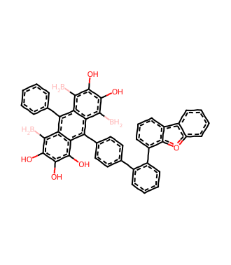 Bc1c(O)c(O)c(B)c2c(-c3ccc(-c4ccccc4-c4cccc5c4oc4ccccc45)cc3)c3c(O)c(O)c(O)c(B)c3c(-c3ccccc3)c12